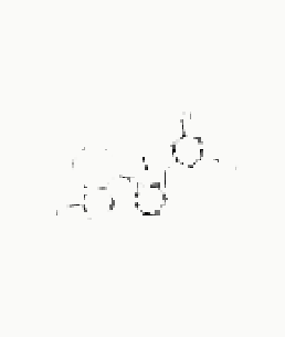 CC1=NN=C(c2ccccn2)C2C(OC(=O)Nc3cc(C)cc(C)c3)CCCCCC12